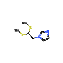 CCCCSC(Cn1ccnc1)SCCCC